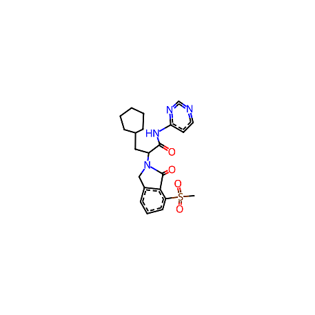 CS(=O)(=O)c1cccc2c1C(=O)N(C(CC1CCCCC1)C(=O)Nc1ccncn1)C2